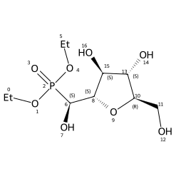 CCOP(=O)(OCC)[C@H](O)[C@H]1O[C@H](CO)[C@@H](O)[C@@H]1O